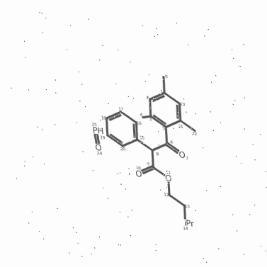 Cc1cc(C)c(C(=O)C(C(=O)OCCC(C)C)c2ccccc2)c(C)c1.O=P